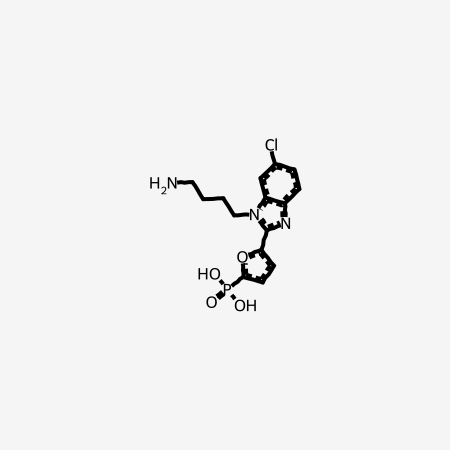 NCCCCn1c(-c2ccc(P(=O)(O)O)o2)nc2ccc(Cl)cc21